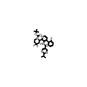 CC(C)c1ncc(C(=O)Nc2c(-c3ccccc3F)ccnc2C2CC(F)(F)CCN2C(=O)OC(C)(C)C)cn1